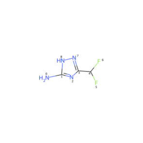 Nc1nc(C(F)F)n[nH]1